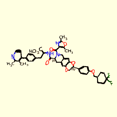 Cc1nc(C(=O)N2Cc3cc4c(cc3C[C@H]2C(=O)NC(Cc2ccc(-c3ccnc(C)c3C)cc2)C(=O)O)OC[C@H](c2ccc(OCC3CCC(F)(F)CC3)cc2)O4)c(C)o1